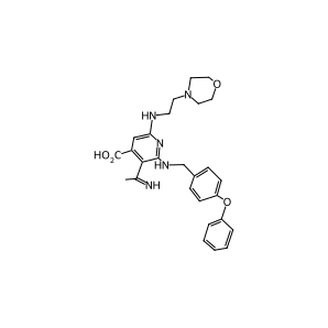 CC(=N)c1c(C(=O)O)cc(NCCN2CCOCC2)nc1NCc1ccc(Oc2ccccc2)cc1